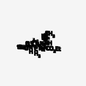 CCOC(=O)c1nnc(N2CCC[C@@H](NC(=O)OC(C)(C)C)[C@H]2C)nc1Nc1cnn(C)c1